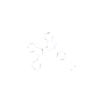 CC1(C)OB(c2ccc(-c3nc4ccccc4c4c3oc3c4c4ccccc4n3-c3ccccc3)cc2)OC1(C)C